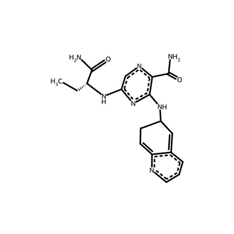 CC[C@@H](Nc1cnc(C(N)=O)c(NC2C=c3cccnc3=CC2)n1)C(N)=O